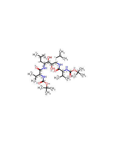 CC(C)C[C@H](NC(=O)[C@@H](NC(=O)OC(C)(C)C)C(C)C)[C@@H](O)[C@H](O)[C@H](CC(C)C)NC(=O)[C@@H](NC(=O)OC(C)(C)C)C(C)C